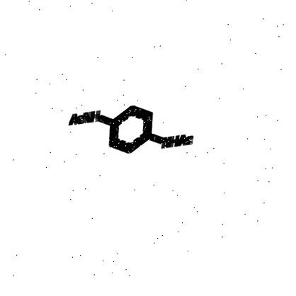 [CH2]C(=O)Nc1ccc(NC([CH2])=O)cc1